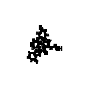 Cc1ccccc1CNC(=O)c1c(-c2ccncc2)c(-c2ccc(F)cc2)nn1CCO